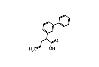 C=CCC(C(=O)O)c1cccc(-c2ccccc2)c1